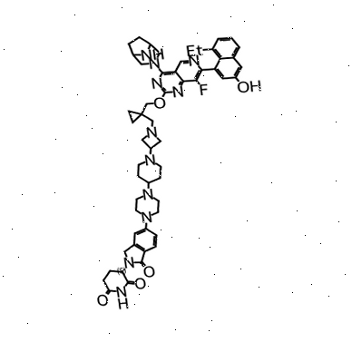 CCc1cccc2cc(O)cc(-c3ncc4c(N5CC6CCC(C5)N6)nc(OCC5(CN6CC(N7CCC(N8CCN(c9ccc%10c(c9)CN([C@H]9CCC(=O)NC9=O)C%10=O)CC8)CC7)C6)CC5)nc4c3F)c12